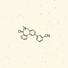 CN1Cc2ccc(-c3cccc(C#N)c3)cc2-c2ccsc2C1=O